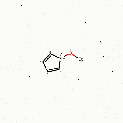 CCO[SiH]1C=CC=C1